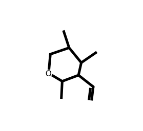 C=CC1C(C)OCC(C)C1C